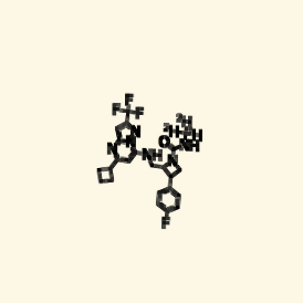 [2H]C([2H])([2H])NC(=O)N1CC(c2ccc(F)cc2)C1CNc1cc(C2CCC2)nc2cc(C(F)(F)F)nn12